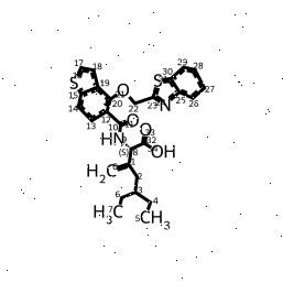 C=C(CC(CC)CC)[C@H](NC(=O)c1ccc2sccc2c1OCc1nc2ccccc2s1)C(=O)O